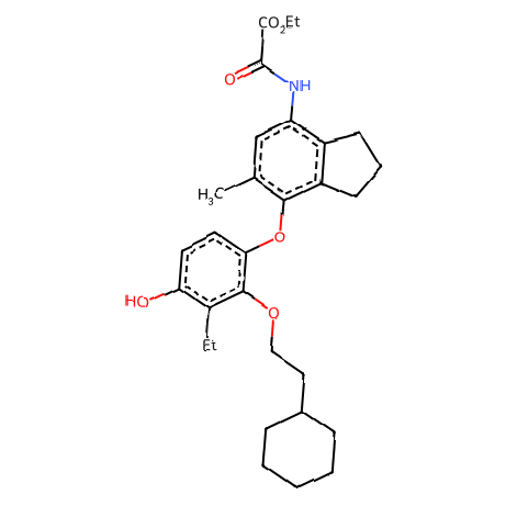 CCOC(=O)C(=O)Nc1cc(C)c(Oc2ccc(O)c(CC)c2OCCC2CCCCC2)c2c1CCC2